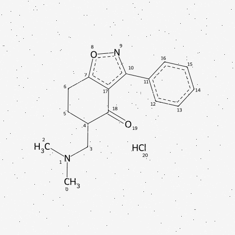 CN(C)CC1CCc2onc(-c3ccccc3)c2C1=O.Cl